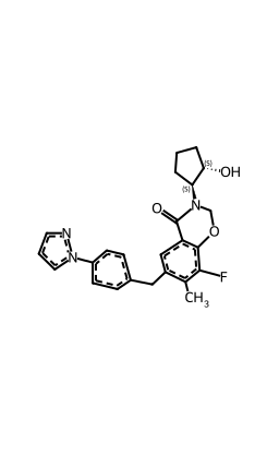 Cc1c(Cc2ccc(-n3cccn3)cc2)cc2c(c1F)OCN([C@H]1CCC[C@@H]1O)C2=O